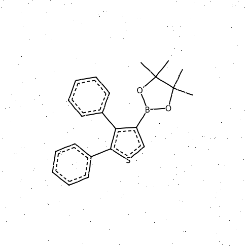 CC1(C)OB(c2csc(-c3ccccc3)c2-c2ccccc2)OC1(C)C